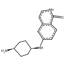 N[C@H]1CC[C@@H](Nc2ccc3c(=O)[nH]ccc3c2)CC1